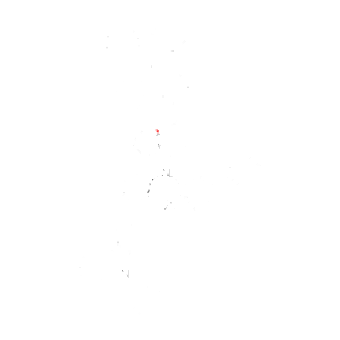 CC(CC(CC(C)C(C)(C)C)c1ccc(-c2ccc3c(c2)C2(c4ccccc4-3)c3ccccc3-c3ccc(-c4ccc(N(c5cccc(-c6ccccc6)c5)c5cccc(-c6ccc7c(c6)c6ccccc6n7-c6ccccc6)c5)cc4)cc32)cc1)C(C)(C)C